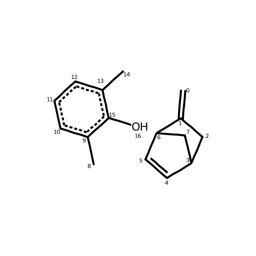 C=C1CC2C=CC1C2.Cc1cccc(C)c1O